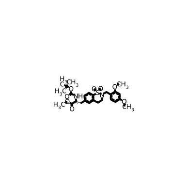 COC(=O)[C@@H](Cc1ccc2c(c1)CCN(Cc1ccc(OC)cc1OC)S2(=O)=O)NC(=O)OC(C)(C)C